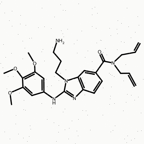 C=CCN(CC=C)C(=O)c1ccc2nc(Nc3cc(OC)c(OC)c(OC)c3)n(CCCN)c2c1